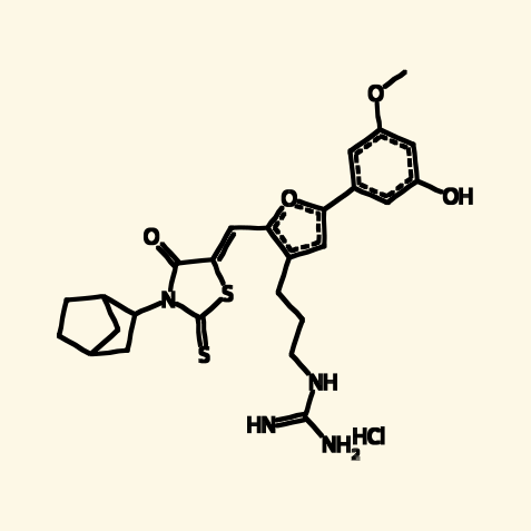 COc1cc(O)cc(-c2cc(CCCNC(=N)N)c(C=C3SC(=S)N(C4CC5CCC4C5)C3=O)o2)c1.Cl